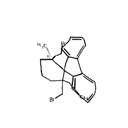 CCC1(CBr)CCC[C@@](C)(CBr)C12c1ccccc1-c1ccccc12